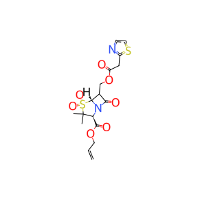 C=CCOC(=O)[C@@H]1N2C(=O)C(COC(=O)Cc3nccs3)[C@H]2S(=O)(=O)C1(C)C